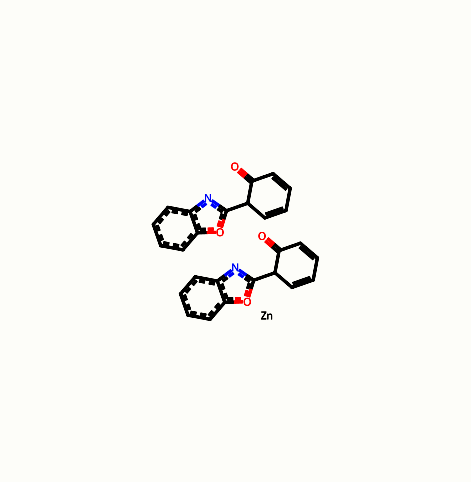 O=C1C=CC=CC1c1nc2ccccc2o1.O=C1C=CC=CC1c1nc2ccccc2o1.[Zn]